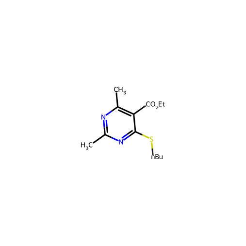 CCCCSc1nc(C)nc(C)c1C(=O)OCC